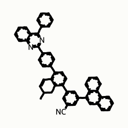 CC1C=Cc2c(-c3ccc(-c4nc(-c5ccccc5)c5ccccc5n4)cc3)ccc(-c3cc(C#N)cc(-c4cc5ccccc5c5ccccc45)c3)c2C1